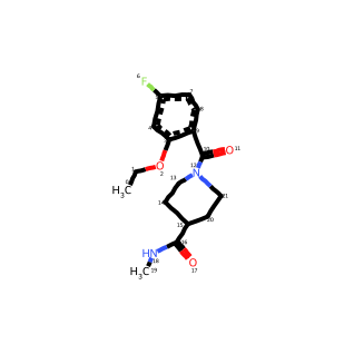 CCOc1cc(F)ccc1C(=O)N1CCC(C(=O)NC)CC1